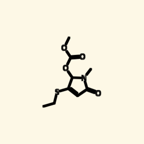 CCSC1=CC(=O)N(C)C1OC(=O)OC